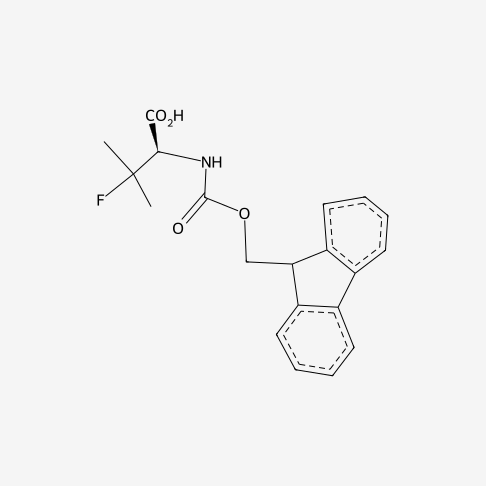 CC(C)(F)[C@H](NC(=O)OCC1c2ccccc2-c2ccccc21)C(=O)O